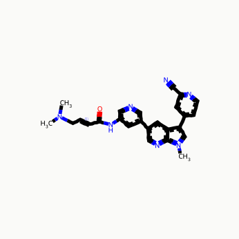 CN(C)C/C=C/C(=O)Nc1cncc(-c2cnc3c(c2)c(-c2ccnc(C#N)c2)cn3C)c1